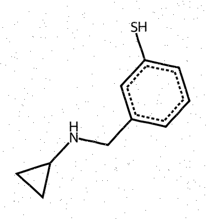 Sc1cccc(CNC2CC2)c1